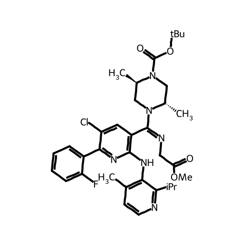 COC(=O)C/N=C(\c1cc(Cl)c(-c2ccccc2F)nc1Nc1c(C)ccnc1C(C)C)N1C[C@@H](C)N(C(=O)OC(C)(C)C)C[C@@H]1C